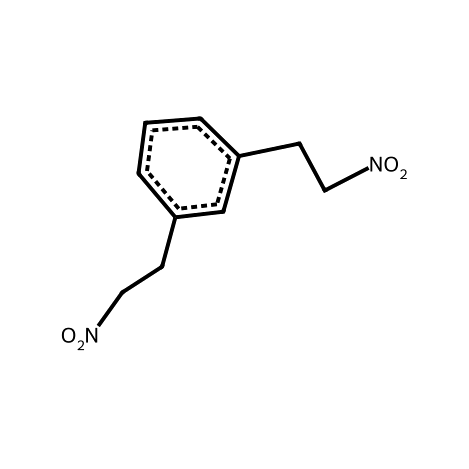 O=[N+]([O-])CCc1cccc(CC[N+](=O)[O-])c1